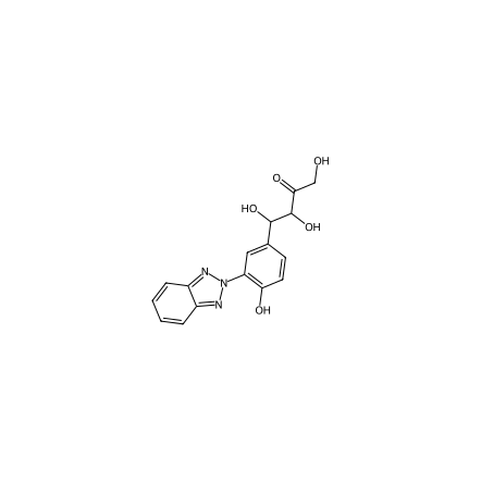 O=C(CO)C(O)C(O)c1ccc(O)c(-n2nc3ccccc3n2)c1